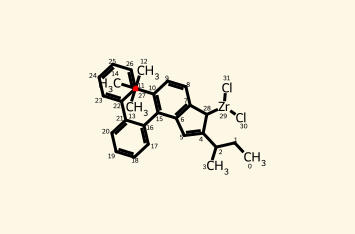 CCC(C)C1=Cc2c(ccc(C(C)(C)C)c2-c2ccccc2-c2ccccc2)[CH]1[Zr]([Cl])[Cl]